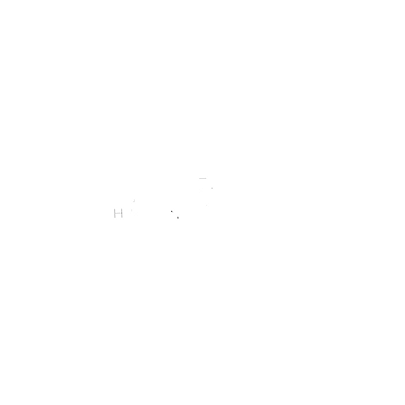 C#C[SiH2]N[SiH3]